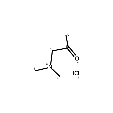 CC(=O)CN(C)C.Cl